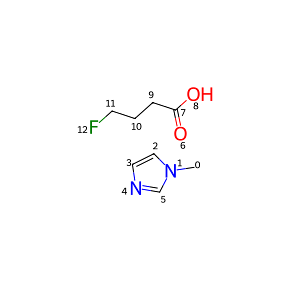 Cn1ccnc1.O=C(O)CCCF